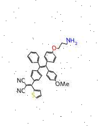 COc1ccc(/C(=C(/c2ccccc2)c2ccc(C(=C(C#N)C#N)c3cccs3)cc2)c2ccc(OCCCN)cc2)cc1